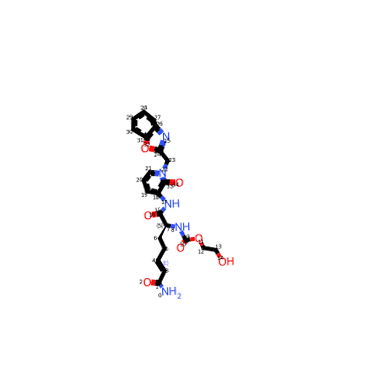 NC(=O)/C=C/CC[C@H](NC(=O)OCCO)C(=O)Nc1cccn(Cc2nc3ccccc3o2)c1=O